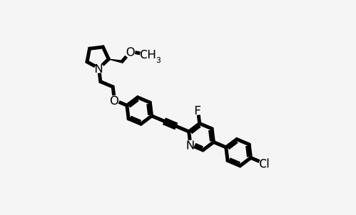 COC[C@@H]1CCCN1CCOc1ccc(C#Cc2ncc(-c3ccc(Cl)cc3)cc2F)cc1